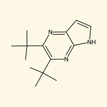 CC(C)(C)c1nc2cc[nH]c2nc1C(C)(C)C